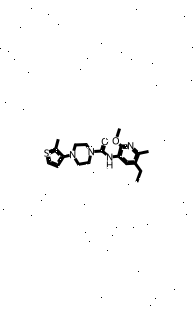 CCc1cc(NC(=O)N2CCN(c3ccsc3C)CC2)c(OC)nc1C